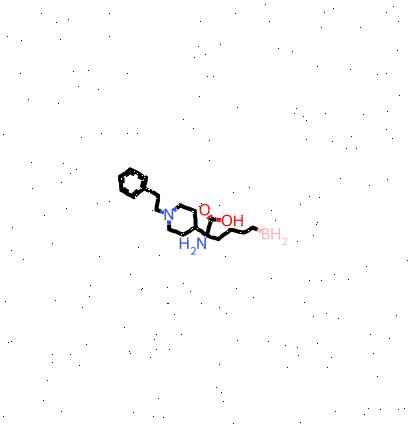 BCCCCC(N)(C(=O)O)C1CCN(CCc2ccccc2)CC1